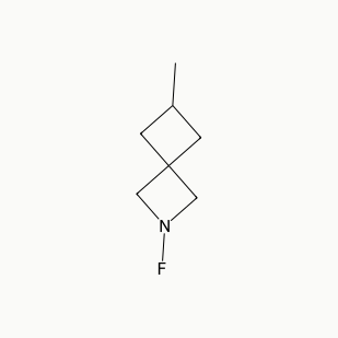 CC1CC2(C1)CN(F)C2